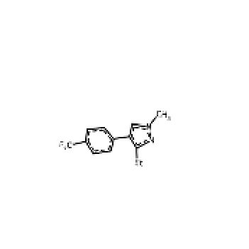 CCc1nn(C)cc1-c1ccc(C(F)(F)F)cc1